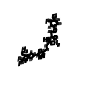 C=C(CCc1nnc(C2CN(C(C)C(F)(F)F)C2)o1)NC(=O)COc1ccc(Cl)c(F)c1